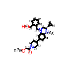 CCCOCC(=O)N1CC=C(c2ccc3c(c2)N(Cc2ccccc2CO)C[C@H](C2CC2)N3C(C)=O)CC1